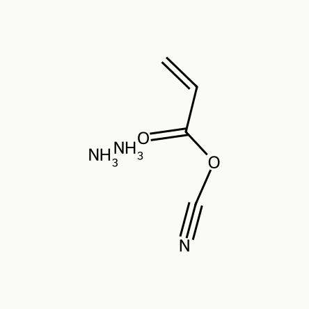 C=CC(=O)OC#N.N.N